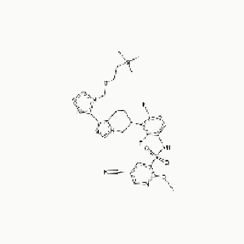 COc1ncc(C#N)cc1S(=O)(=O)Nc1ccc(F)c(C2CCc3c(-c4nccn4COCC[Si](C)(C)C)ncn3C2)c1F